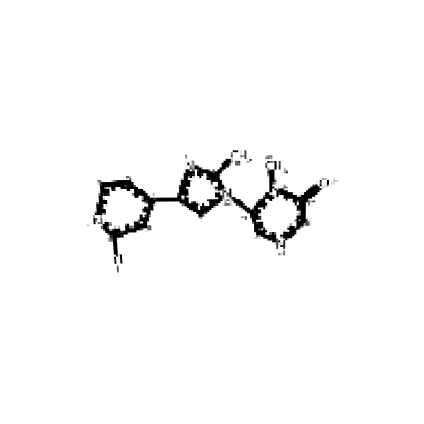 Cc1nc(-c2ccnc(Cl)c2)cn1-c1cncc(=O)n1C